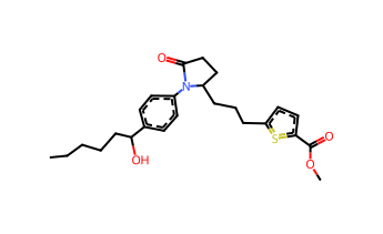 CCCCCC(O)c1ccc(N2C(=O)CCC2CCCc2ccc(C(=O)OC)s2)cc1